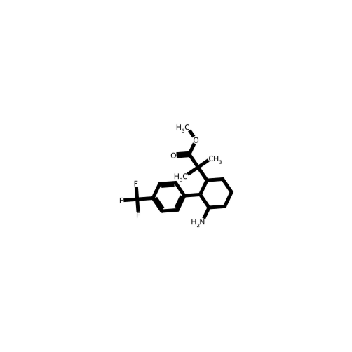 COC(=O)C(C)(C)C1CCCC(N)C1c1ccc(C(F)(F)F)cc1